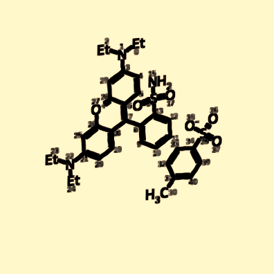 CCN(CC)c1ccc2c(-c3ccccc3S(N)(=O)=O)c3ccc(N(CC)CC)cc3[o+]c2c1.Cc1ccc(S(=O)(=O)[O-])cc1